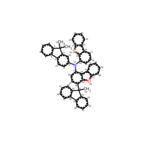 CC1(C)c2ccccc2-c2ccc(N(c3cccc4c3sc3ccccc34)c3ccc(C4(C)c5ccccc5-c5ccccc54)c4oc5ccccc5c34)cc21